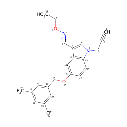 C#CCn1cc(/C=N/OCC(=O)O)c2cc(OCc3cc(C(F)(F)F)cc(C(F)(F)F)c3)ccc21